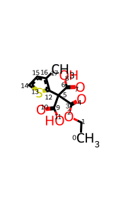 CCOC(=O)C(C(=O)O)(C(=O)O)c1sccc1C